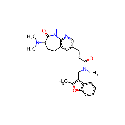 Cc1oc2ccccc2c1CN(C)C(=O)C=Cc1cnc2c(c1)CCC(N(C)C)C(=O)N2